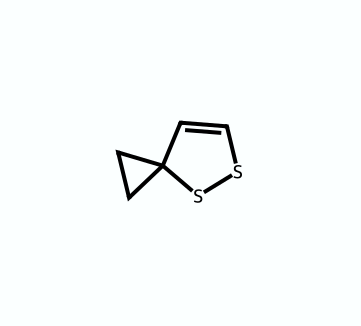 C1=CC2(CC2)SS1